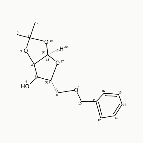 CC1(C)OC2C(O)[C@@H](COCc3ccccc3)O[C@@H]2O1